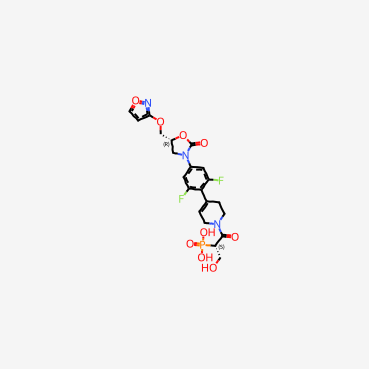 O=C([C@H](CO)P(=O)(O)O)N1CC=C(c2c(F)cc(N3C[C@H](COc4ccon4)OC3=O)cc2F)CC1